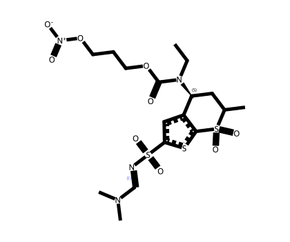 CCN(C(=O)OCCCO[N+](=O)[O-])[C@H]1CC(C)S(=O)(=O)c2sc(S(=O)(=O)/N=C/N(C)C)cc21